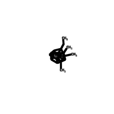 CC[C]12[CH]3[CH]4[C]5(C)[C]1(C)[Fe]43521678[CH]2[CH]1[CH]6[C]7(C)[CH]28